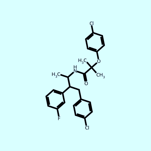 CC(NC(=O)C(C)(C)Oc1ccc(Cl)cc1)C(Cc1ccc(Cl)cc1)c1cccc(F)c1